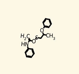 C=C(Nc1ccccc1)OSCC(C)Oc1ccccc1